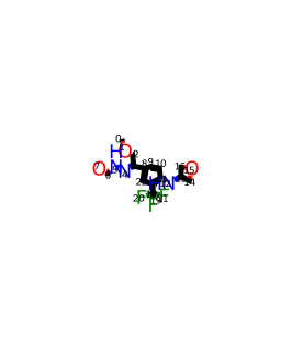 COC/C(=N\NC=O)c1ccc(NC2COC2)c(C(F)(F)F)c1